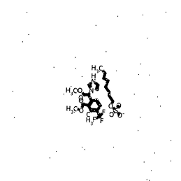 CCCCCCCCOS(=O)(=O)[O-].COC(=O)c1c(C(C(=O)OC)[n+]2cc[nH]c2)ccc(C(F)(F)F)c1C